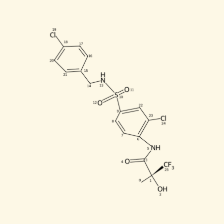 C[C@@](O)(C(=O)Nc1ccc(S(=O)(=O)NCc2ccc(Cl)cc2)cc1Cl)C(F)(F)F